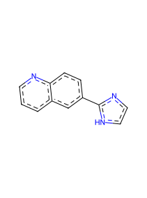 c1cnc2ccc(-c3ncc[nH]3)cc2c1